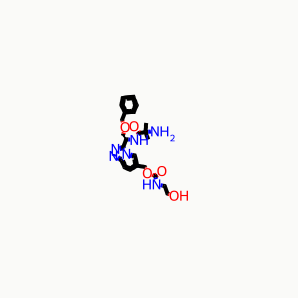 CC(C)(N)C(=O)N[C@H](COCc1ccccc1)c1nnc2ccc(COC(=O)NCCO)cn12